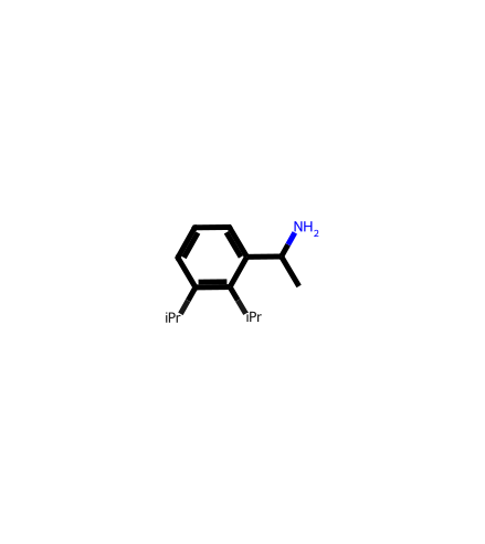 CC(C)c1cccc(C(C)N)c1C(C)C